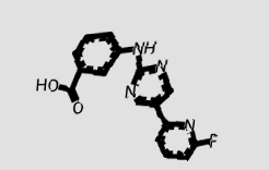 O=C(O)c1cccc(Nc2ncc(-c3cccc(F)n3)cn2)c1